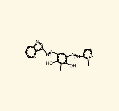 Cc1c(O)c(/N=N/c2snc3cccnc23)cc(/N=N/c2ccnn2C)c1O